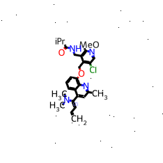 C=C/C=C(/c1cc(C)nc2c(OCc3c(Cl)cnc(OC)c3CNC(=O)C(C)C)cccc12)N(C)C